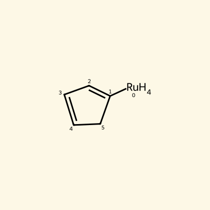 [RuH4][C]1=CC=CC1